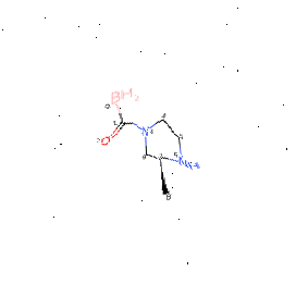 BC(=O)N1CCN[C@@H](C)C1